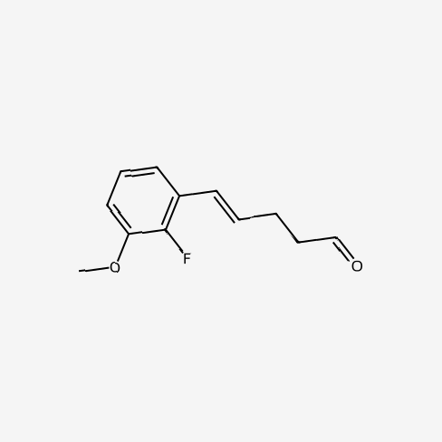 COc1cccc(/C=C/CCC=O)c1F